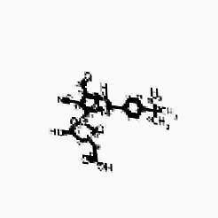 CC(C)(C)c1ccc(-c2nn3c(OC(=O)N(CC(=O)O)CC(=O)O)c(C#N)c(C=O)c3[nH]2)cc1